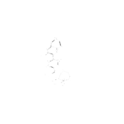 C=C(c1cnc(-c2cc3ccncc3cc2O)nn1)[C@@H]1CCCC[C@](C)(CC)[C@H]1F